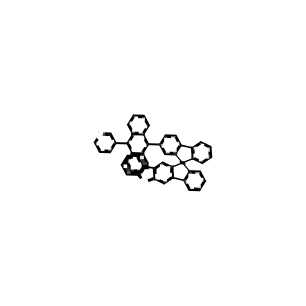 c1cncc(-c2c3ccccc3c(-c3ccc4c(c3)C3(c5ccccc5-4)c4ccccc4-c4cc5sc6ccccc6c5cc43)c3ccccc23)c1